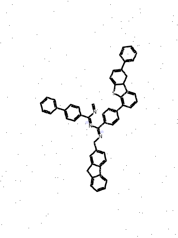 C=N/C(=N\C(=N/Cc1ccc2c(c1)Cc1ccccc1-2)c1ccc(-c2cccc3c2SC2=CC=C(c4ccccc4)CC23)cc1)c1ccc(-c2ccccc2)cc1